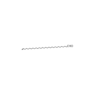 C=CCCCCCCCCCCCCCCCCCCCCCCCCCCCC=O